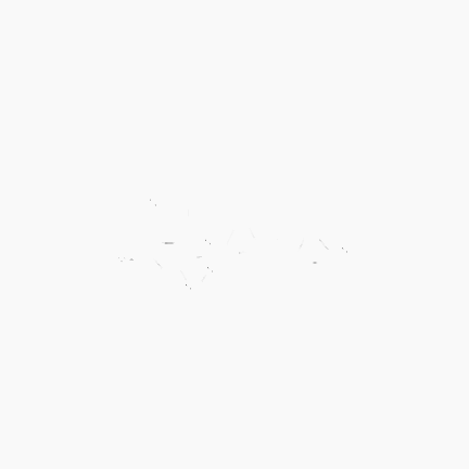 COc1cc2ncnc(Nc3ccc(OCc4ccc(N(C)C)cc4)cc3)c2cc1CC(O)N1CCCC1